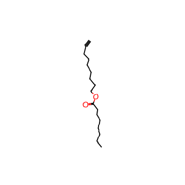 C#CCCCCCCCOC(=O)CCCCCCC